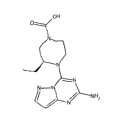 CC[C@H]1CN(C(=O)O)CCN1c1nc(N)nc2ccnn12